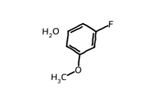 COc1cccc(F)c1.O